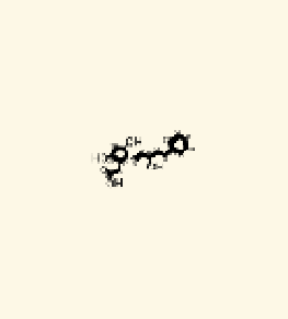 O=C(O)C[C@@H]1[C@@H](C=C[C@@H](O)CCc2ccccc2)[C@H](O)C[C@@H]1O